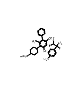 CCCCCCCC1CCC(c2c(N)cc(C(=O)O)c(-c3ccccc3)c2N)CC1.Nc1ccc(C(F)(C(F)F)C(F)(F)F)cc1